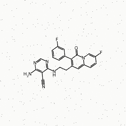 N#Cc1c(N)ncnc1NCCc1cc2ccc(F)cn2c(=O)c1-c1cccc(F)c1